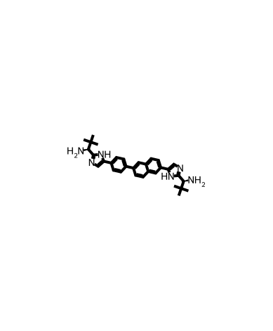 CC(C)(C)[C@H](N)c1ncc(-c2ccc(-c3ccc4cc(-c5cnc([C@@H](N)C(C)(C)C)[nH]5)ccc4c3)cc2)[nH]1